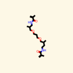 C=C(C)C(=O)NCCC(C)COCCCOCC(C)CNC(=O)C(=C)C